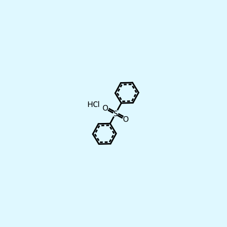 Cl.O=S(=O)(c1ccccc1)c1ccccc1